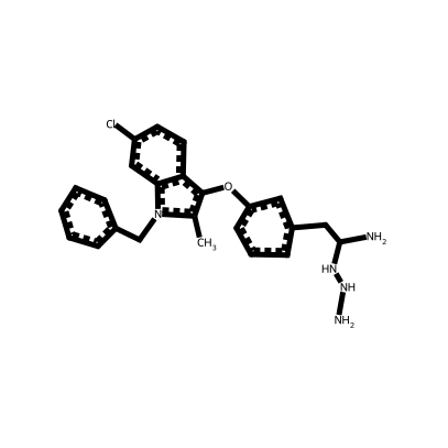 Cc1c(Oc2cccc(CC(N)NNN)c2)c2ccc(Cl)cc2n1Cc1ccccc1